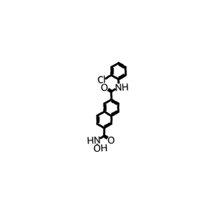 O=C(NO)c1ccc2cc(C(=O)Nc3ccccc3Cl)ccc2c1